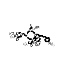 CC(C)(C)OC(=O)CN1CCN(CCN(CC(=O)O)CC(=O)OC(C)(C)C)CCN(CC(=O)OC(C)(C)C)CCN(CC(CCCc2ccc([N+](=O)[O-])cc2)N(CC(=O)OC(C)(C)C)CC(=O)OC(C)(C)C)CC1